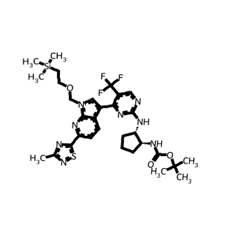 Cc1nsc(-c2ccc3c(-c4nc(N[C@H]5CCC[C@@H]5NC(=O)OC(C)(C)C)ncc4C(F)(F)F)cn(COCC[Si](C)(C)C)c3n2)n1